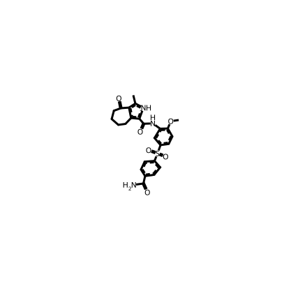 COc1ccc(S(=O)(=O)c2ccc(C(N)=O)cc2)cc1NC(=O)c1[nH]c(C)c2c1CCCCC2=O